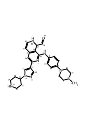 CN1CCN(c2ccc(Nc3nc(-c4cnn(C5CCNCC5)c4)cc4c3C(C=O)NC=C4)cc2)CC1